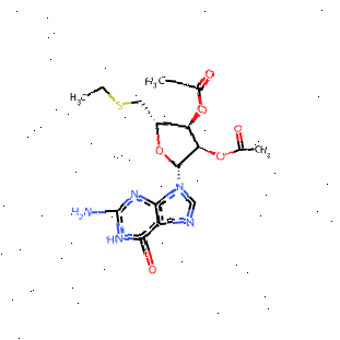 CCSC[C@H]1O[C@@H](n2cnc3c(=O)[nH]c(N)nc32)[C@H](OC(C)=O)[C@@H]1OC(C)=O